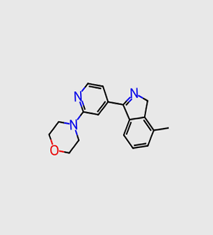 Cc1cccc2c1CN=C2c1ccnc(N2CCOCC2)c1